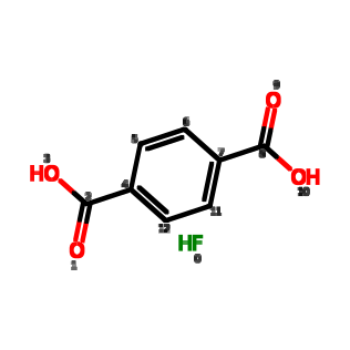 F.O=C(O)c1ccc(C(=O)O)cc1